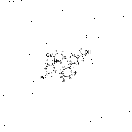 Cc1cc(Br)cc(C)c1-n1cc(-c2nc(C(C)(C)O)oc2-c2ccc(F)cc2F)ccc1=O